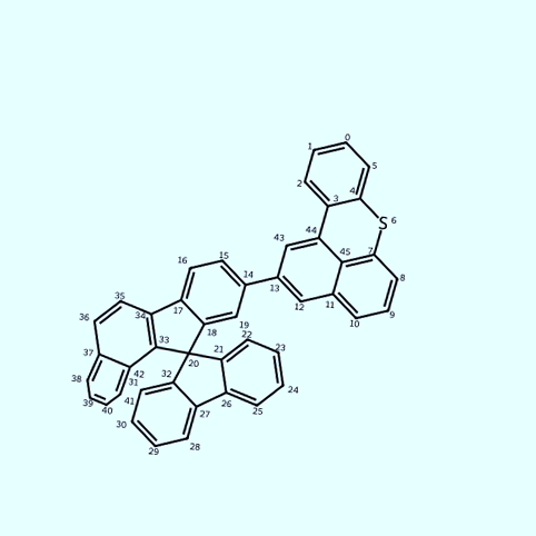 c1ccc2c(c1)Sc1cccc3cc(-c4ccc5c(c4)C4(c6ccccc6-c6ccccc64)c4c-5ccc5ccccc45)cc-2c13